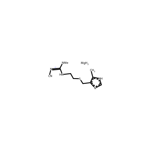 CN/C(=N/C#N)NCCSCc1nc[nH]c1C.[MgH2]